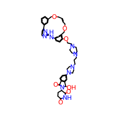 O=C1CCC(N2C(=O)c3ccc(N4CCN(CCCN5CCN(CCOc6ccc7cc6COC/C=C/COCc6cccc(c6)-c6ccnc(n6)N7)CC5)CC4)cc3C2O)C(=O)N1